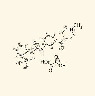 CN1CCC(C(=O)c2cccc(NC(=S)Nc3ccccc3C(F)(F)F)c2)CC1.O=C(O)C(=O)O